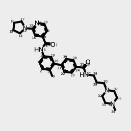 Cc1ccc(NC(=O)c2ccnc(N3CCCC3)c2)cc1-c1ccc(C(=O)NCCCN2CCN(C)CC2)cc1